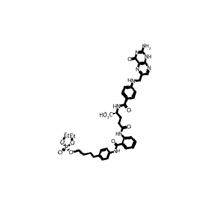 CCOP(=O)(OCC)OCCCCc1ccc(NC(=O)c2ccccc2NC(=O)CC[C@H](NC(=O)c2ccc(NCc3cnc4[nH]c(N)nc(=O)c4n3)cc2)C(=O)O)cc1